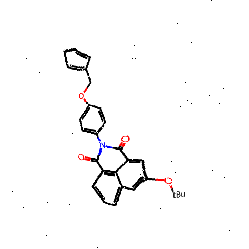 CC(C)(C)Oc1cc2c3c(cccc3c1)C(=O)N(c1ccc(OCC3=CCC=C3)cc1)C2=O